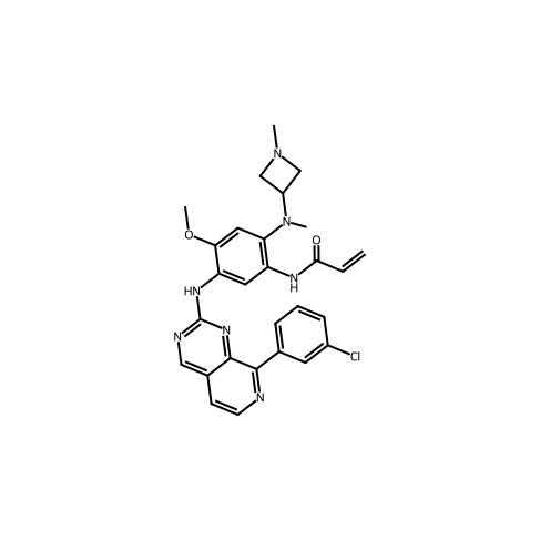 C=CC(=O)Nc1cc(Nc2ncc3ccnc(-c4cccc(Cl)c4)c3n2)c(OC)cc1N(C)C1CN(C)C1